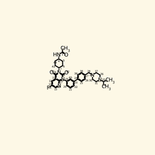 CC(=O)N[C@H]1CC[C@@H](n2c(=O)c3cc(F)cnc3n(-c3cccc(-c4ccc(CN5CCN(C(C)C)CC5)cc4)c3)c2=O)CC1